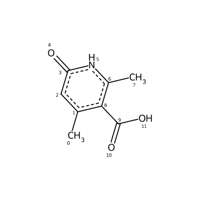 Cc1cc(=O)[nH]c(C)c1C(=O)O